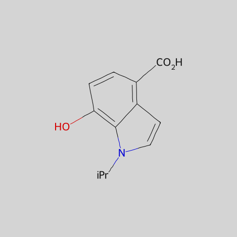 CC(C)n1ccc2c(C(=O)O)ccc(O)c21